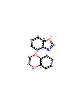 C1=COc2ccccc2O1.c1ccc2ocnc2c1